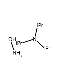 CC(C)N(C(C)C)C(C)C.NO